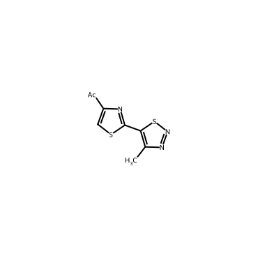 CC(=O)c1csc(-c2snnc2C)n1